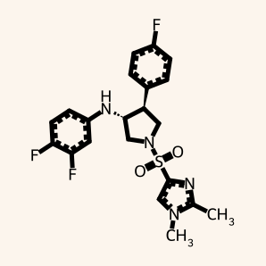 Cc1nc(S(=O)(=O)N2C[C@H](Nc3ccc(F)c(F)c3)[C@@H](c3ccc(F)cc3)C2)cn1C